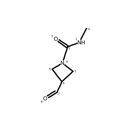 CNC(=O)N1CC(C=O)C1